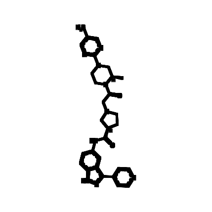 Bc1cnc(N2CCN(C(=O)CN3CC[C@@H](C(=O)Nc4ccc5[nH]nc(-c6ccncc6)c5c4)C3)[C@H](C)C2)nc1